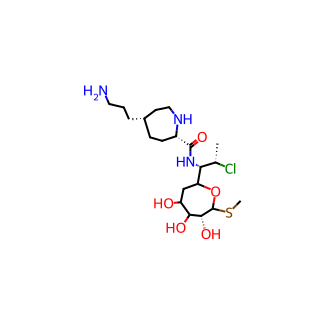 CSC1OC([C@H](NC(=O)[C@@H]2CC[C@H](CCCN)CCN2)[C@H](C)Cl)CC(O)C(O)[C@H]1O